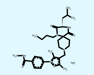 CCCCN1C(=O)[C@H](CC(C)C)NC(=O)C12CCN(Cc1c(C)nn(-c3ccc(C(=O)NC)cc3)c1C)CC2.Cl